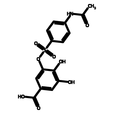 CC(=O)Nc1ccc(S(=O)(=O)Oc2cc(C(=O)O)cc(O)c2O)cc1